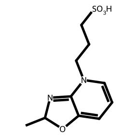 CC1N=C2C(=CC=CN2CCCS(=O)(=O)O)O1